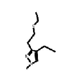 CCSCCc1nn(C)cc1CC